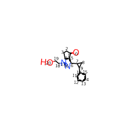 O=C1CCc2c1c(C1CC1c1ccccc1)nn2CCO